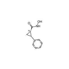 O=C(NO)[C@@H]1CC1c1ccccc1